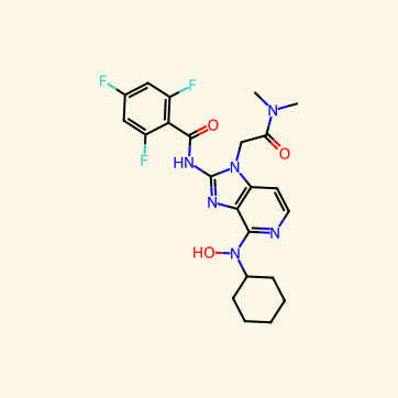 CN(C)C(=O)Cn1c(NC(=O)c2c(F)cc(F)cc2F)nc2c(N(O)C3CCCCC3)nccc21